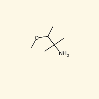 COC(C)C(C)(C)N